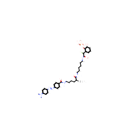 CC(=O)NC(CCCCNC(=O)c1ccc(/N=N/c2ccc(N(C)C)cc2)cc1)C(=O)NCCCCCCNC(=O)C(F)c1ccccc1OP(=O)(O)O